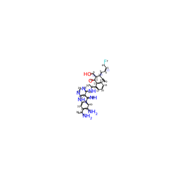 C#CC(=C\C=C/CF)/C(=C/O)C(=O)c1ccccc1C(C)Nc1ncnc(N)c1C(=N)c1ccc(C(C)N)c(N)c1